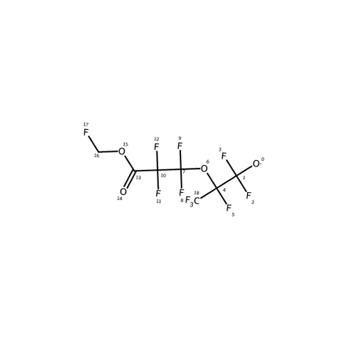 [O]C(F)(F)C(F)(OC(F)(F)C(F)(F)C(=O)OCF)C(F)(F)F